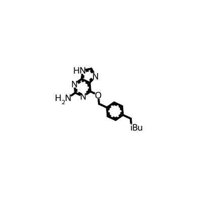 CCC(C)Cc1ccc(COc2nc(N)nc3[nH]cnc23)cc1